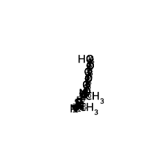 Cc1cc(-c2ccc3c4cnccc4n(C)c3c2)cnc1OCCOCCOCCOCCOCCO